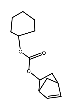 O=C(OC1CCCCC1)OC1CC2C=CC1C2